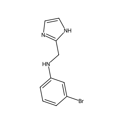 Brc1cccc(NCc2ncc[nH]2)c1